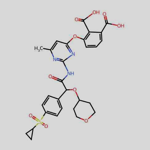 Cc1cc(Oc2cccc(C(=O)O)c2C(=O)O)nc(NC(=O)C(OC2CCOCC2)c2ccc(S(=O)(=O)C3CC3)cc2)n1